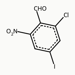 O=Cc1c(Cl)cc(I)cc1[N+](=O)[O-]